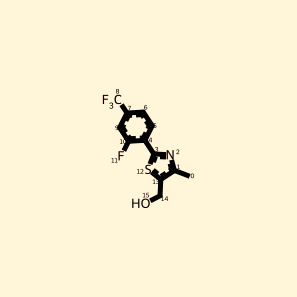 Cc1nc(-c2ccc(C(F)(F)F)cc2F)sc1CO